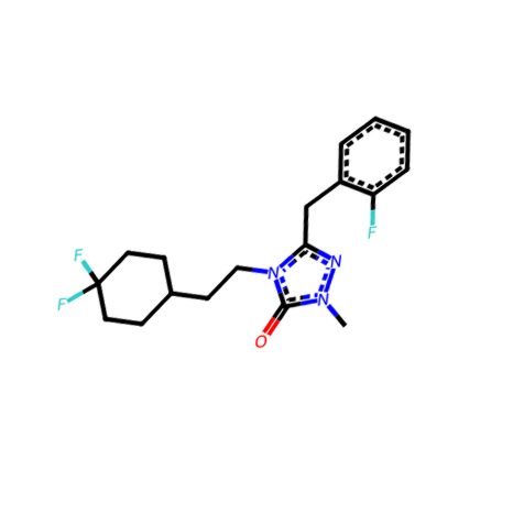 Cn1nc(Cc2ccccc2F)n(CCC2CCC(F)(F)CC2)c1=O